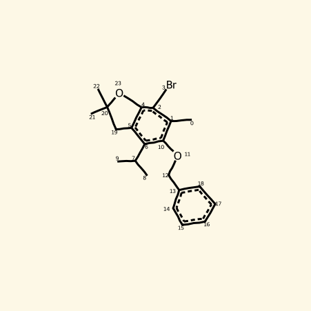 Cc1c(Br)c2c(c(C(C)C)c1OCc1ccccc1)CC(C)(C)O2